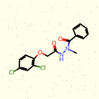 CN(NC(=O)COc1ccc(Cl)cc1Cl)C(=O)c1ccccc1